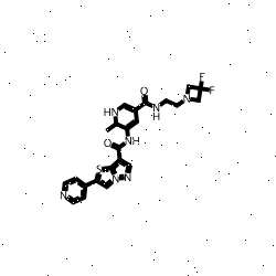 CC1NC=C(C(=O)NCCN2CC(F)(F)C2)C=C1NC(=O)c1cnn2cc(-c3ccncc3)sc12